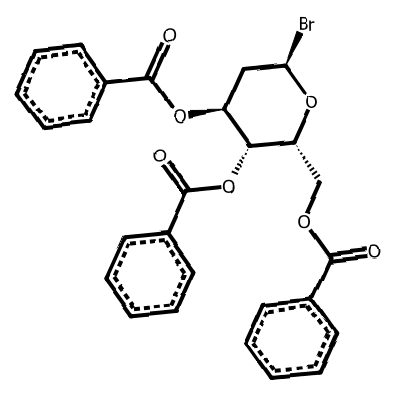 O=C(OC[C@H]1O[C@H](Br)C[C@H](OC(=O)c2ccccc2)[C@H]1OC(=O)c1ccccc1)c1ccccc1